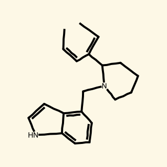 C/C=C\C(=C/C)C1CCCCN1Cc1cccc2[nH]ccc12